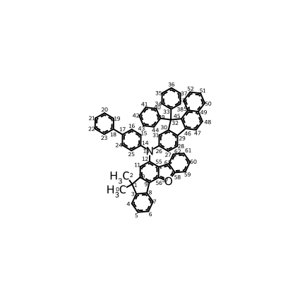 CC1(C)c2ccccc2-c2c1cc(N(c1ccc(-c3ccccc3)cc1)c1ccc3c(c1)C(c1ccccc1)(c1ccccc1)c1c-3ccc3ccccc13)c1c2oc2ccccc21